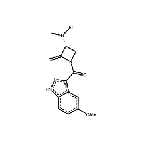 C=C1[C@H](N(C)CC)CN1C(=O)c1n[nH]c2ccc(OC)cc12